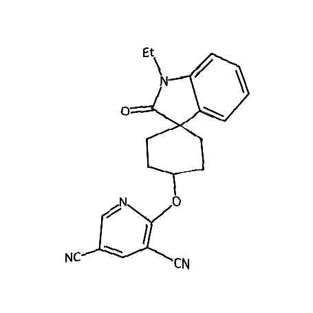 CCN1C(=O)C2(CCC(Oc3ncc(C#N)cc3C#N)CC2)c2ccccc21